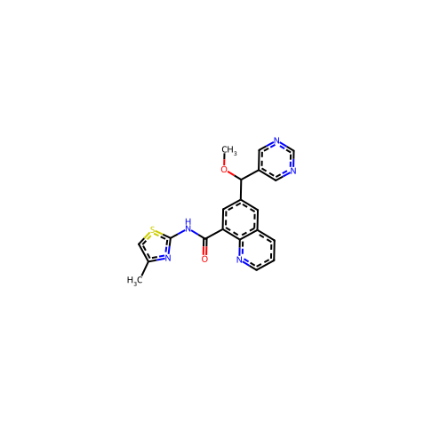 COC(c1cncnc1)c1cc(C(=O)Nc2nc(C)cs2)c2ncccc2c1